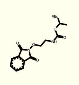 CCCCC(C)OC(=O)NCCON1C(=O)c2ccccc2C1=O